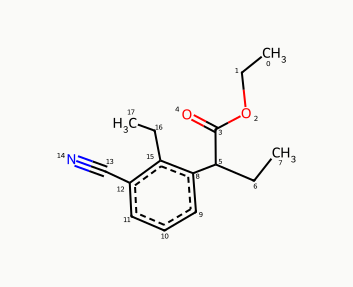 CCOC(=O)C(CC)c1cccc(C#N)c1CC